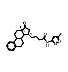 Cc1cc(NC(=O)CCC[C@@H]2CC(=O)[C@@]3(C)CCC4c5ccccc5CCC4C23)no1